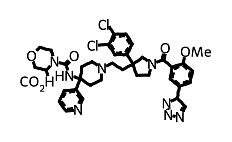 COc1ccc(C2C=NN=N2)cc1C(=O)N1CCC(CCN2CCC(NC(=O)N3CCOCC3C(=O)O)(c3cccnc3)CC2)(c2ccc(Cl)c(Cl)c2)C1